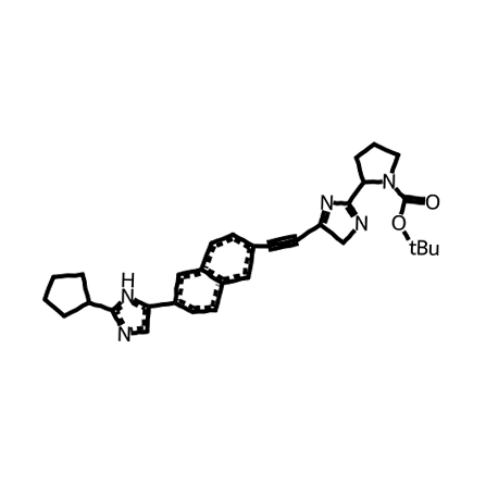 CC(C)(C)OC(=O)N1CCCC1C1=NCC(C#Cc2ccc3cc(-c4cnc(C5CCCC5)[nH]4)ccc3c2)=N1